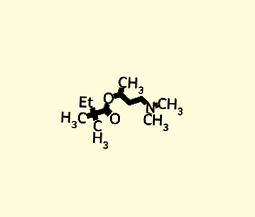 CCC(C)(C)C(=O)OC(C)CCN(C)C